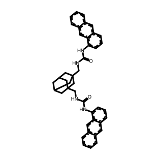 O=C(NCC12CC3CC(C1)CC(CNC(=O)Nc1cccc4cc5ccccc5cc14)(C3)C2)Nc1cccc2cc3ccccc3cc12